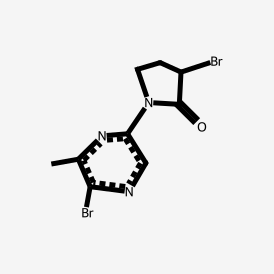 Cc1nc(N2CCC(Br)C2=O)cnc1Br